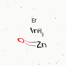 [Er].[InH3].[O]=[Zn]